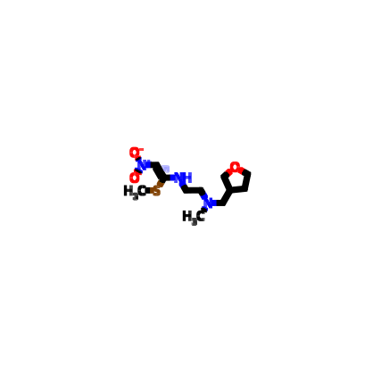 CS/C(=C\[N+](=O)[O-])NCCN(C)CC1CCOC1